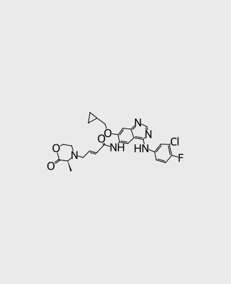 C[C@H]1C(=O)OCCN1C/C=C/C(=O)Nc1cc2c(Nc3ccc(F)c(Cl)c3)ncnc2cc1OCC1CC1